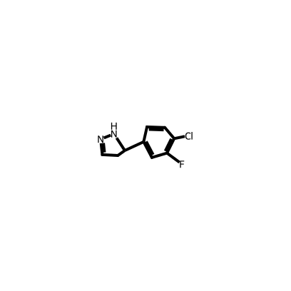 Fc1cc(C2CC=NN2)ccc1Cl